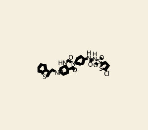 O=C(Nc1ccc(-n2c(=O)[nH]c3cc(NCc4csc5ccccc45)ccc3c2=O)cc1)NS(=O)(=O)c1ccc(Cl)s1